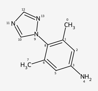 Cc1cc(N)cc(C)c1-n1cncn1